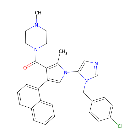 Cc1c(C(=O)N2CCN(C)CC2)c(-c2cccc3ccccc23)cn1-c1cncn1Cc1ccc(Cl)cc1